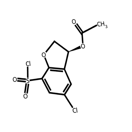 CC(=O)O[C@@H]1COc2c1cc(Cl)cc2S(=O)(=O)Cl